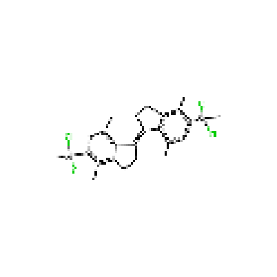 Cc1cc([Si](C)(Cl)Cl)c(C)c2c1C(=C1CCc3c(C)c([Si](C)(Cl)Cl)cc(C)c31)CC2